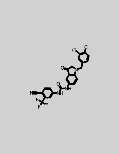 N#Cc1ccc(NC(=O)Nc2ccc3c(c2)C(=O)CN3Cc2ccc(Cl)c(Cl)c2)cc1C(F)(F)F